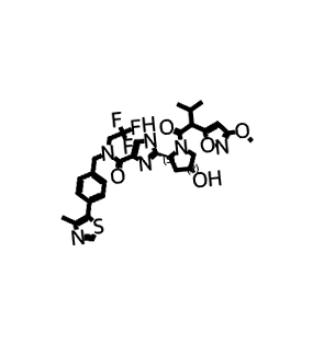 COc1cc(C(C(=O)N2C[C@H](O)C[C@H]2c2nc(C(=O)N(Cc3ccc(-c4scnc4C)cc3)CC(F)(F)F)c[nH]2)C(C)C)on1